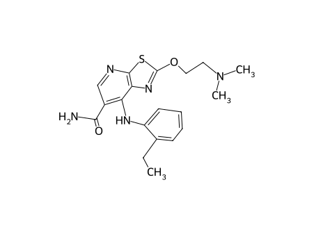 CCc1ccccc1Nc1c(C(N)=O)cnc2sc(OCCN(C)C)nc12